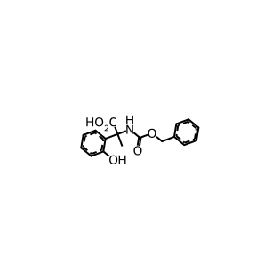 CC(NC(=O)OCc1ccccc1)(C(=O)O)c1ccccc1O